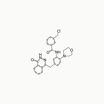 O=C(Nc1cc(Cc2n[nH]c(=O)c3ccccc23)ccc1N1CCOCC1)c1cccc(CCl)c1